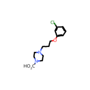 O=C(O)N1CCN(CCCOc2cccc(Cl)c2)CC1